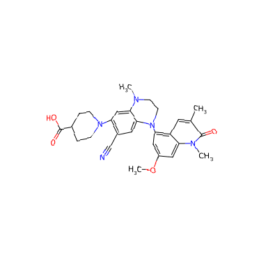 COc1cc(N2CCN(C)c3cc(N4CCC(C(=O)O)CC4)c(C#N)cc32)c2cc(C)c(=O)n(C)c2c1